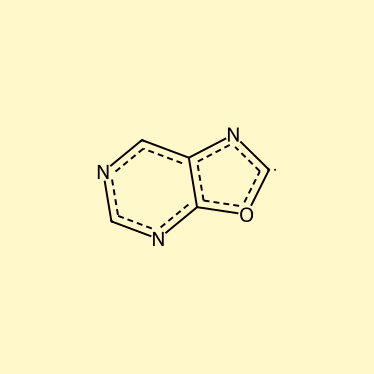 [c]1nc2cncnc2o1